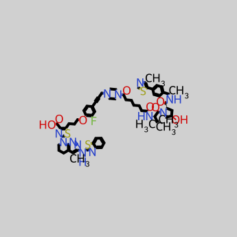 Cc1ncsc1-c1ccc([C@H](C)NC(=O)[C@@H]2C[C@@H](O)CN2C(=O)[C@@H](NC(=O)CCCCCC(=O)N2CCN(CC#Cc3ccc(OCCCc4sc(N5CCCc6c5nnc(Nc5nc7ccccc7s5)c6C)nc4C(=O)O)c(F)c3)CC2)C(C)(C)C)cc1